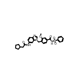 COc1cc(C(=O)NS(=O)(=O)c2ccccc2)ccc1Cn1cnc2ccc(NC(=O)CC3CCCC3)cc21